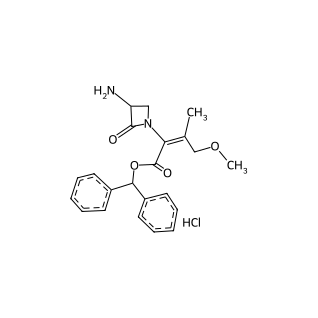 COCC(C)=C(C(=O)OC(c1ccccc1)c1ccccc1)N1CC(N)C1=O.Cl